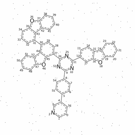 c1cncc(-c2ccc(-c3nc(-c4ccc5c(c4)oc4ccccc45)nc(-c4ccc(-c5cccc6oc7ccccc7c56)c5c4oc4ccccc45)n3)cc2)c1